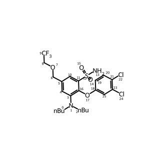 CCCCN(CCCC)c1cc(COCC(F)(F)F)cc(S(N)(=O)=O)c1Oc1ccc(Cl)c(Cl)c1